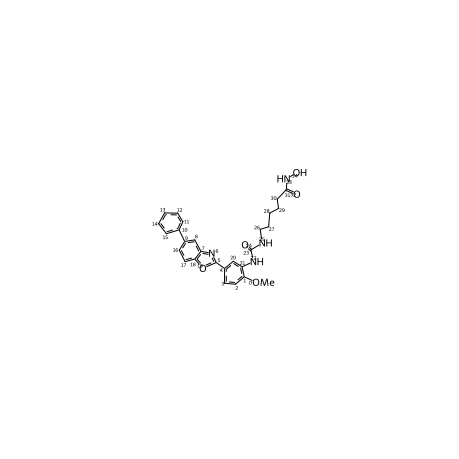 COc1ccc(-c2nc3cc(-c4ccccc4)ccc3o2)cc1NC(=O)NCCCCCC(=O)NO